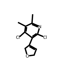 Cc1nc(Cl)c(C2=CCOC2)c(Cl)c1C